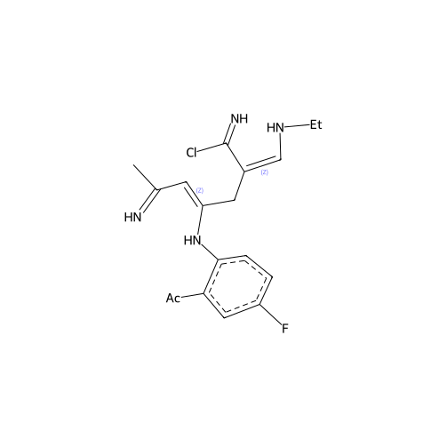 CCN/C=C(/C/C(=C/C(C)=N)Nc1ccc(F)cc1C(C)=O)C(=N)Cl